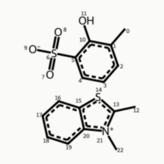 Cc1cccc(S(=O)(=O)[O-])c1O.Cc1sc2ccccc2[n+]1C